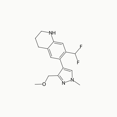 COCc1nn(C)cc1-c1cc2c(cc1C(F)F)NCCC2